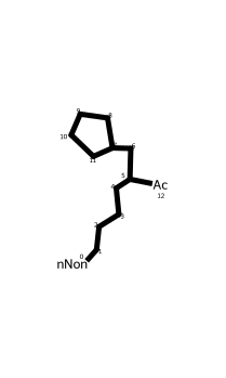 CCCCCCCCCCCCCC(CC1CCCC1)C(C)=O